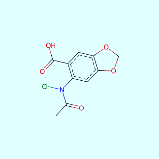 CC(=O)N(Cl)c1cc2c(cc1C(=O)O)OCO2